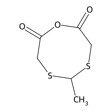 CC1SCC(=O)OC(=O)CS1